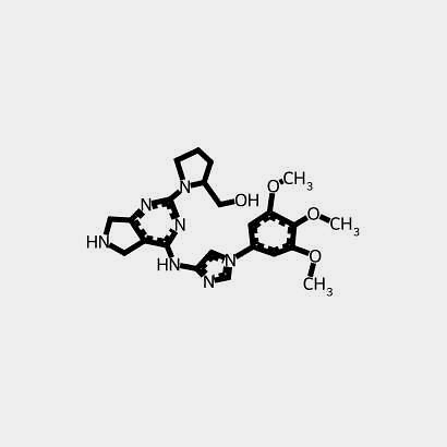 COc1cc(-n2cnc(Nc3nc(N4CCCC4CO)nc4c3CNC4)c2)cc(OC)c1OC